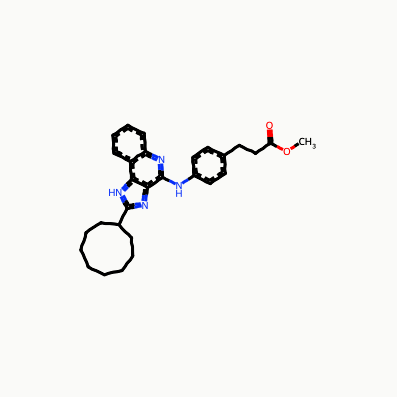 COC(=O)CCc1ccc(Nc2nc3ccccc3c3[nH]c(C4CCCCCCCC4)nc23)cc1